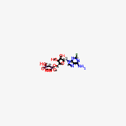 Nc1nc(F)nc2c1ncn2C[C@@H]1O[C@H](COP(=O)(O)CP(=O)(O)O)[C@@H](O)[C@@H]1O